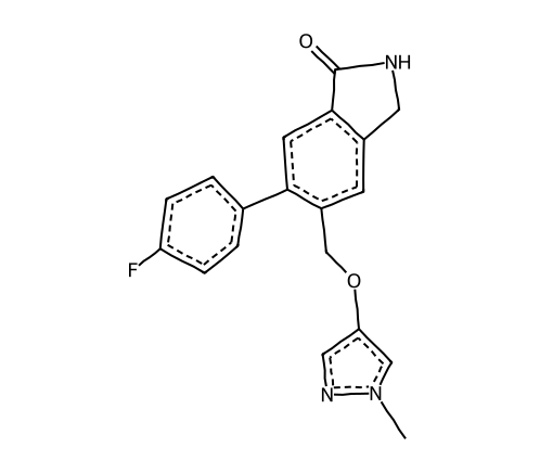 Cn1cc(OCc2cc3c(cc2-c2ccc(F)cc2)C(=O)NC3)cn1